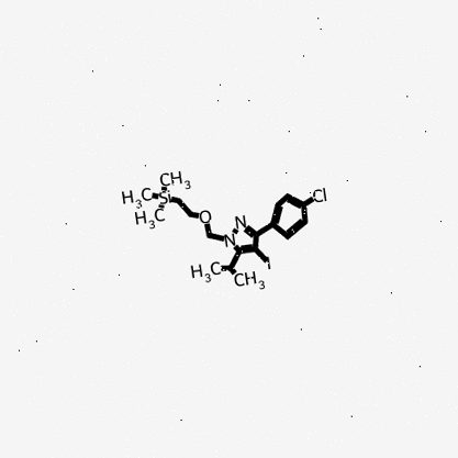 CC(C)c1c(I)c(-c2ccc(Cl)cc2)nn1COCC[Si](C)(C)C